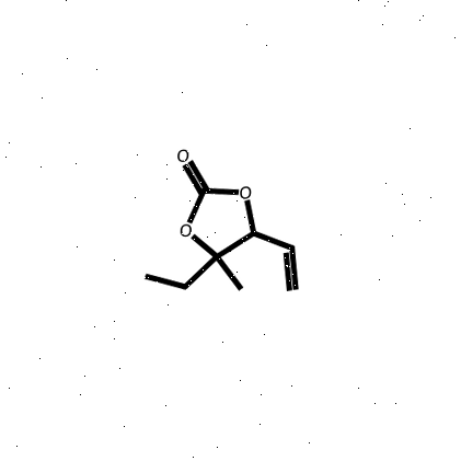 C=CC1OC(=O)OC1(C)CC